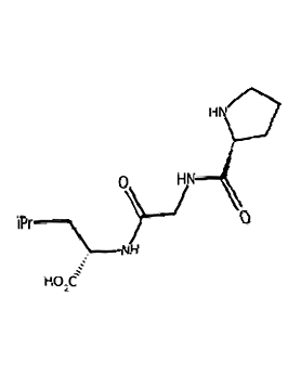 CC(C)C[C@H](NC(=O)CNC(=O)[C@@H]1CCCN1)C(=O)O